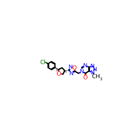 Cn1nnc2ncn(Cc3nc([C@@H]4CO[C@@H](c5ccc(Cl)cc5)C4)no3)c(=O)c21